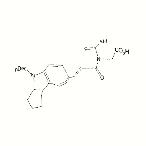 CCCCCCCCCCN1c2ccc(/C=C/C(=O)N(CC(=O)O)C(=S)S)cc2C2CCCC21